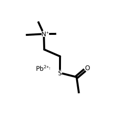 CC(=O)SCC[N+](C)(C)C.[Pb+2]